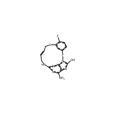 Nc1nc2nc3c1nc(O)n3Cc1ccc(F)c(c1)OC/C=C/CN2